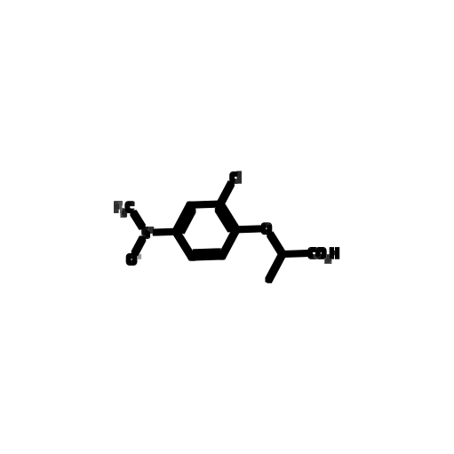 CC(Oc1ccc([S+]([O-])C(F)(F)F)cc1Cl)C(=O)O